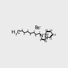 CCCCCCCC[n+]1ccn2ccccc21.[Br-]